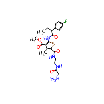 CCC(C(=O)Nc1sc(C(=O)NCCNC(=O)CN)c(C)c1C(=O)OC)c1ccc(F)cc1